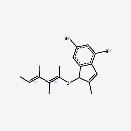 C/C=C(C)/C(C)=[C](\C)[Zr][CH]1C(C)=Cc2c(C(C)C)cc(C(C)C)cc21